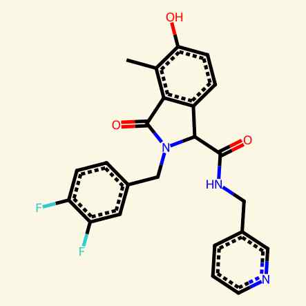 Cc1c(O)ccc2c1C(=O)N(Cc1ccc(F)c(F)c1)C2C(=O)NCc1cccnc1